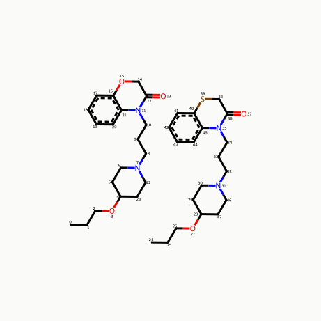 CCCOC1CCN(CCCN2C(=O)COc3ccccc32)CC1.CCCOC1CCN(CCCN2C(=O)CSc3ccccc32)CC1